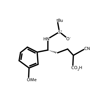 COc1cccc([C@@H](CCC(C#N)C(=O)O)N[S+]([O-])C(C)(C)C)c1